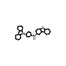 c1ccc2c(c1)sc1ccc(Nc3ccc(-n4c5ccccc5c5ccccc54)cc3)cc12